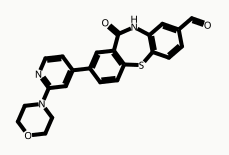 O=Cc1ccc2c(c1)NC(=O)c1cc(-c3ccnc(N4CCOCC4)c3)ccc1S2